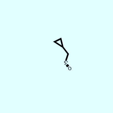 O=[S+]CC1CC1